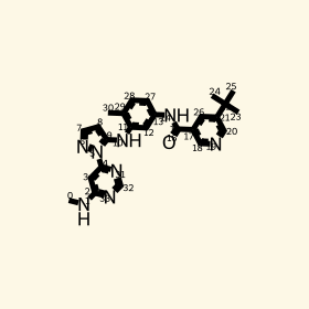 CNc1cc(-n2nccc2Nc2cc(NC(=O)c3cncc(C(C)(C)C)c3)ccc2C)ncn1